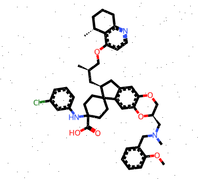 COc1ccccc1CN(C)C[C@@H]1COc2cc3c(cc2O1)C1(CCC(Nc2cccc(Cl)c2)(C(=O)O)CC1)[C@@H](C[C@@H](C)COc1ccnc2c1[C@H](C)CCC2)C3